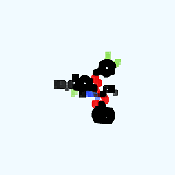 C[C@@H](OC(=O)C12CC3CC(CC(C3)C1)C2)OC(=O)[C@@]1(N)[C@H]2[C@@H](C[C@H]1OCc1ccc(F)c(F)c1)[C@]2(F)C(=O)O